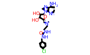 C=C(N)c1ncn([C@H]2O[C@H](CN(C)CCNC(=O)NCc3ccc(Cl)cc3)[C@@H](O)[C@H]2O)c1/N=C\C